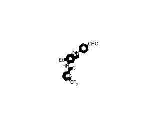 CCc1cc2nn([C@H]3CC[C@H](C=O)CC3)cc2cc1NC(=O)c1cccc(C(F)(F)F)n1